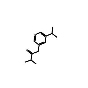 CC(C)C(=O)Cc1cncc(C(C)C)c1